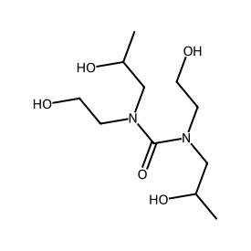 CC(O)CN(CCO)C(=O)N(CCO)CC(C)O